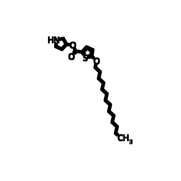 CCCCCCCCCCCCCCOc1ccc(C(=O)OC2CCNC2)s1